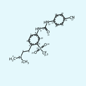 CN(C)CCc1ccc(NC(=O)Nc2ccc(C#N)cc2)cc1S(=O)(=O)C(F)(F)F